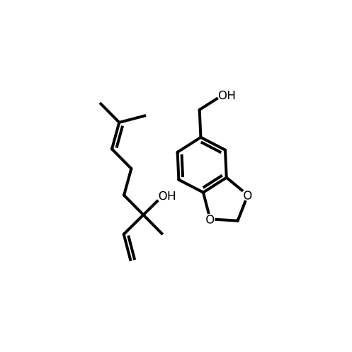 C=CC(C)(O)CCC=C(C)C.OCc1ccc2c(c1)OCO2